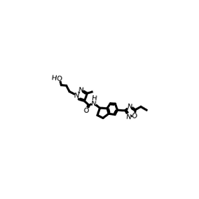 CCc1nc(-c2ccc3c(c2)CCC3NC(=O)c2cn(CCCO)nc2C)no1